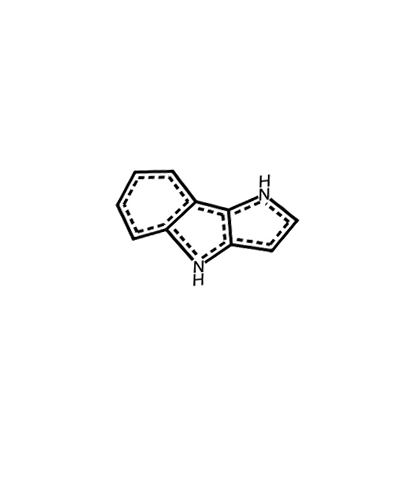 c1ccc2c(c1)[nH]c1cc[nH]c12